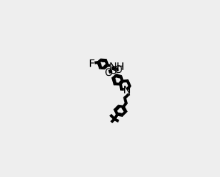 CC(C)(C)c1ccc(CCCN2CCc3cc(S(=O)(=O)Nc4ccc(F)cc4)ccc3C2)cc1